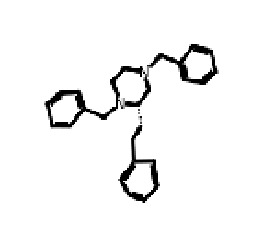 c1ccc(CC[C@H]2CN(Cc3ccccc3)CCN2Cc2ccccc2)cc1